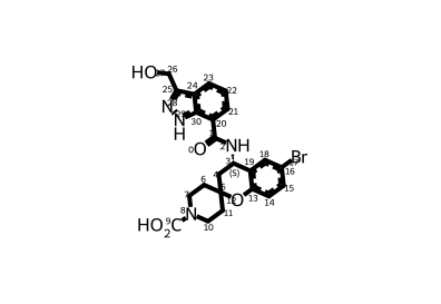 O=C(N[C@H]1CC2(CCN(C(=O)O)CC2)Oc2ccc(Br)cc21)c1cccc2c(CO)n[nH]c12